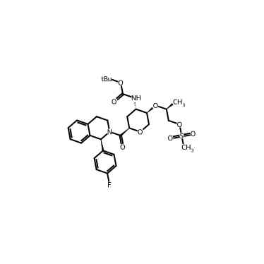 C[C@@H](COS(C)(=O)=O)O[C@H]1CO[C@@H](C(=O)N2CCc3ccccc3[C@@H]2c2ccc(F)cc2)C[C@@H]1NC(=O)OC(C)(C)C